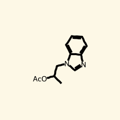 CC(=O)OC(C)Cn1cnc2ccccc21